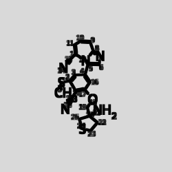 CSc1cc(-c2cnc3cccc(C#N)n23)cc(OCC2(N)CCSC2)c1C#N